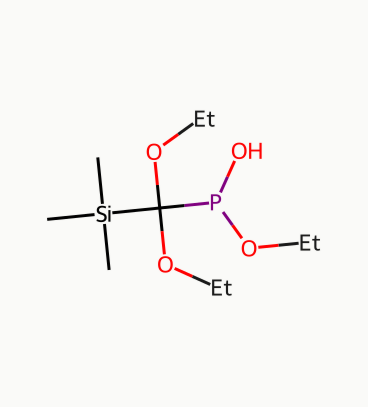 CCOP(O)C(OCC)(OCC)[Si](C)(C)C